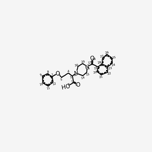 O=C(O)C(CCOc1ccccc1)N1CCN(C(=O)c2cccc3ccccc23)CC1